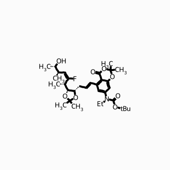 CCN(C(=O)OC(C)(C)C)c1cc(/C=C/C[C@@H]2OC(C)(C)O[C@@H]2[C@H](C)/C(F)=C\[C@@H](C)[C@H](C)O)c2c(c1)OC(C)(C)OC2=O